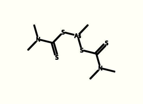 CN(C)C(=S)S[As](C)SC(=S)N(C)C